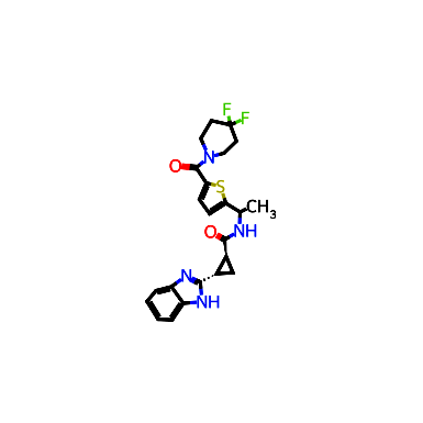 CC(NC(=O)[C@H]1C[C@@H]1c1nc2ccccc2[nH]1)c1ccc(C(=O)N2CCC(F)(F)CC2)s1